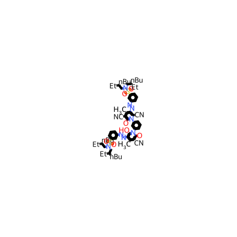 CCCCC(CC)CN(CC(CC)CCCC)S(=O)(=O)c1cccc(/N=N/c2c(C)c(C#N)c(=O)n(-c3cccc(-n4c(C#N)c(/N=N/c5cccc(S(=O)(=O)N(CC(CC)CCCC)CC(CC)CCCC)c5)c(C)c(C#N)c4=O)c3)c2O)c1